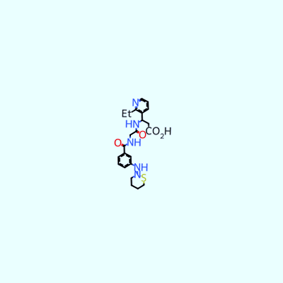 CCc1ncccc1C(CC(=O)O)NC(=O)CNC(=O)c1cccc(NN2CCCCS2)c1